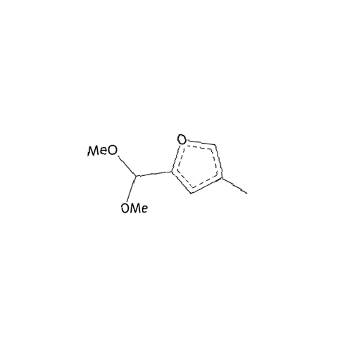 COC(OC)c1cc(C)co1